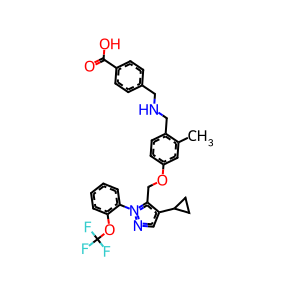 Cc1cc(OCc2c(C3CC3)cnn2-c2ccccc2OC(F)(F)F)ccc1CNCc1ccc(C(=O)O)cc1